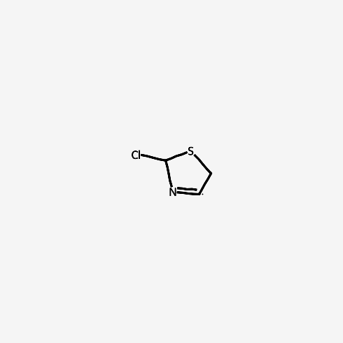 ClC1N=[C]CS1